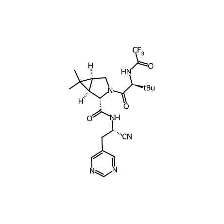 CC(C)(C)[C@H](NC(=O)C(F)(F)F)C(=O)N1C[C@H]2[C@@H]([C@H]1C(=O)N[C@H](C#N)Cc1cncnc1)C2(C)C